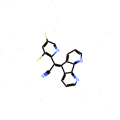 N#CC(=C1c2cccnc2-c2ncccc21)c1ncc(F)cc1F